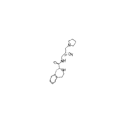 O=C(NC[C@@H](O)CN1CCCC1)C1Cc2ccccc2CCN1